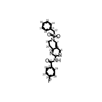 O=C(NC1N=CC2=CN(S(=O)(=O)Cc3ccccc3)CCC2=N1)c1ccc(F)cc1